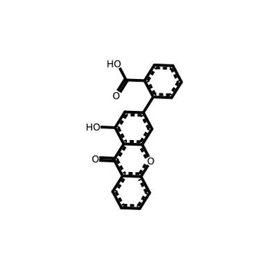 O=C(O)c1ccccc1-c1cc(O)c2c(=O)c3ccccc3oc2c1